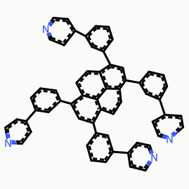 c1cc(-c2ccncc2)cc(-c2cc(-c3cccc(-c4ccncc4)c3)c3ccc4c(-c5cccc(-c6ccncc6)c5)cc(-c5cccc(-c6ccncc6)c5)c5ccc2c3c54)c1